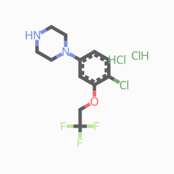 Cl.Cl.FC(F)(F)COc1cc(N2CCNCC2)ccc1Cl